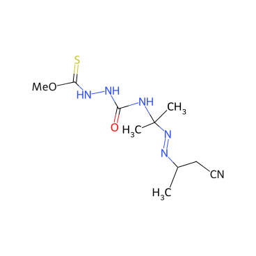 COC(=S)NNC(=O)NC(C)(C)N=NC(C)CC#N